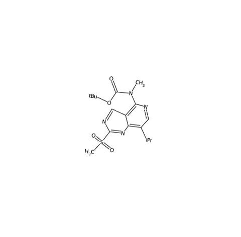 CC(C)c1cnc(N(C)C(=O)OC(C)(C)C)c2cnc(S(C)(=O)=O)nc12